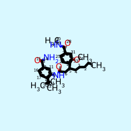 CCCCCC(CC(=O)Nc1cc(C(N)=O)ccc1C(C)(C)C)c1ccc(C(=O)NC)cc1OC